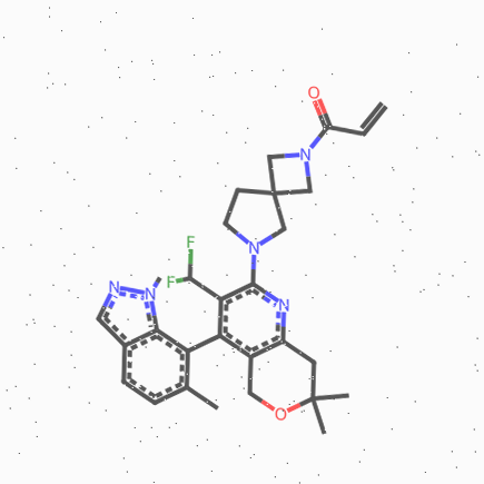 C=CC(=O)N1CC2(CCN(c3nc4c(c(-c5c(C)ccc6cnn(C)c56)c3C(F)F)COC(C)(C)C4)C2)C1